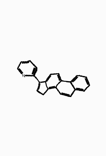 C1=C(c2ccccn2)c2ccc3c(ccc4ccccc43)c2C1